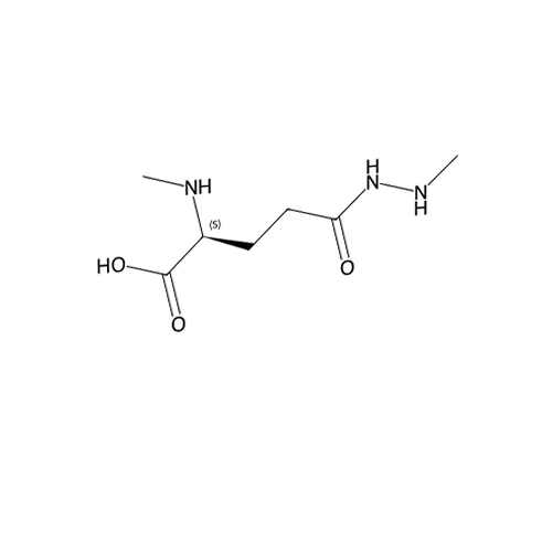 CNNC(=O)CC[C@H](NC)C(=O)O